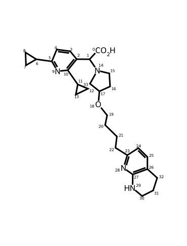 O=C(O)C(c1ccc(C2CC2)nc1C1CC1)N1CCC(OCCCCc2ccc3c(n2)NCCC3)C1